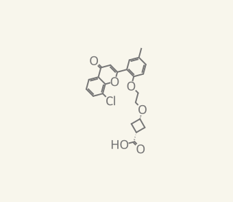 Cc1ccc(OCCO[C@H]2C[C@@H](C(=O)O)C2)c(-c2cc(=O)c3cccc(Cl)c3o2)c1